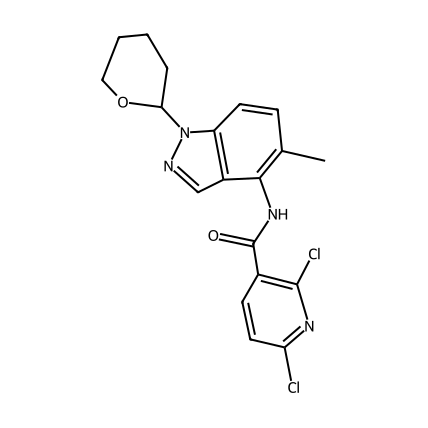 Cc1ccc2c(cnn2C2CCCCO2)c1NC(=O)c1ccc(Cl)nc1Cl